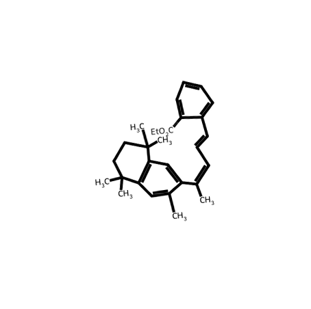 CCOC(=O)c1ccccc1/C=C/C=C(/C)c1cc2c(cc1C)C(C)(C)CCC2(C)C